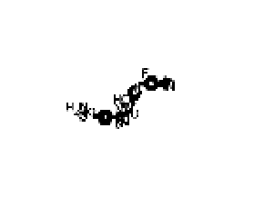 Cn1nc2c(=O)n(CC3(O)CCN(Cc4ccc(-n5ccnc5)cc4F)CC3)cnc2c1-c1ccc(COC(N)=O)cc1